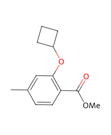 COC(=O)c1ccc(C)cc1OC1CCC1